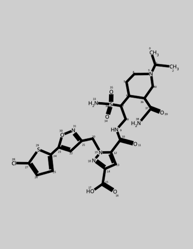 CC(C)N1CCC(C(CNC(=O)c2cc(C(=O)O)nn2Cc2cc(-c3ccc(Cl)s3)on2)S(N)(=O)=O)C(C(N)=O)C1